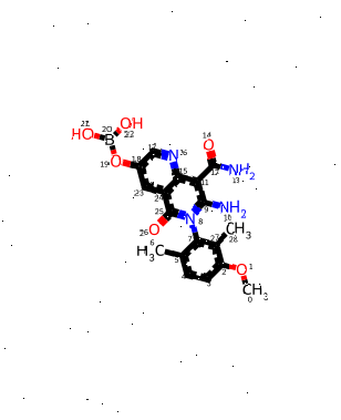 COc1ccc(C)c(-n2c(N)c(C(N)=O)c3ncc(OB(O)O)cc3c2=O)c1C